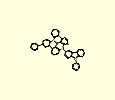 c1ccc(-c2ccc3c(c2)-c2cccc4c2B2c5c(cccc5N4c4ccc5c(c4)c4ccccc4n5-c4ccccc4)-c4ccccc4N23)cc1